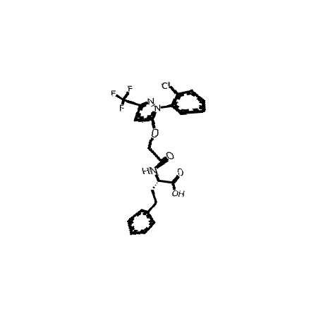 O=C(COc1cc(C(F)(F)F)nn1-c1ccccc1Cl)N[C@@H](CCc1ccccc1)C(=O)O